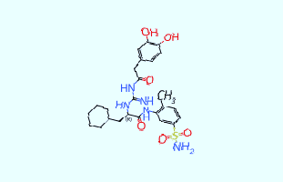 Cc1ccc(S(N)(=O)=O)cc1NC(=O)[C@@H](CC1CCCCC1)NC(=N)NC(=O)Cc1ccc(O)c(O)c1